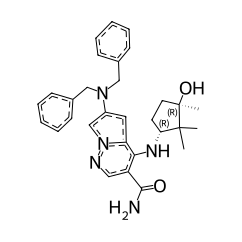 CC1(C)[C@H](Nc2c(C(N)=O)cnn3cc(N(Cc4ccccc4)Cc4ccccc4)cc23)CC[C@@]1(C)O